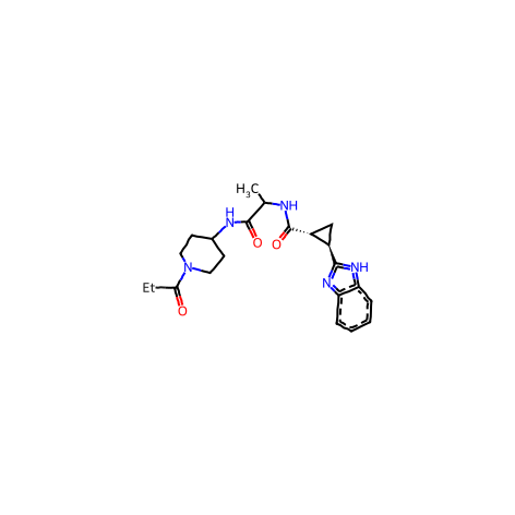 CCC(=O)N1CCC(NC(=O)C(C)NC(=O)[C@@H]2C[C@H]2c2nc3ccccc3[nH]2)CC1